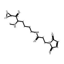 CNC(CCCCNC(=O)CCN1C(=O)C=CC1=O)C(=O)C1SS1